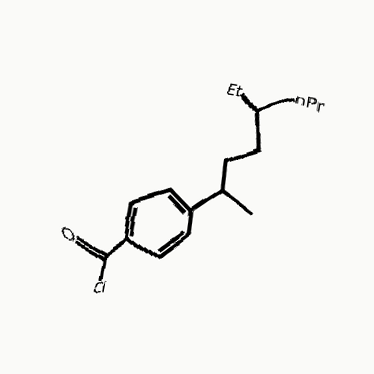 CCCC(CC)CCC(C)c1ccc(C(=O)Cl)cc1